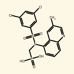 Cc1cnc2cccc(N(CP(=O)(O)O)S(=O)(=O)c3cc(Cl)cc(Cl)c3)c2c1